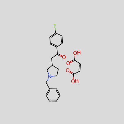 O=C(CC1CCN(Cc2ccccc2)C1)c1ccc(F)cc1.O=C(O)/C=C\C(=O)O